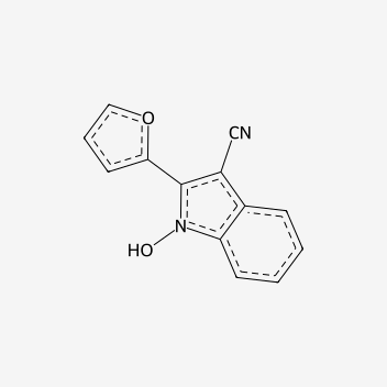 N#Cc1c(-c2ccco2)n(O)c2ccccc12